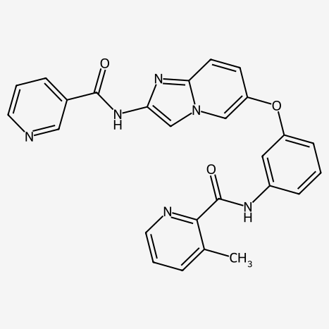 Cc1cccnc1C(=O)Nc1cccc(Oc2ccc3nc(NC(=O)c4cccnc4)cn3c2)c1